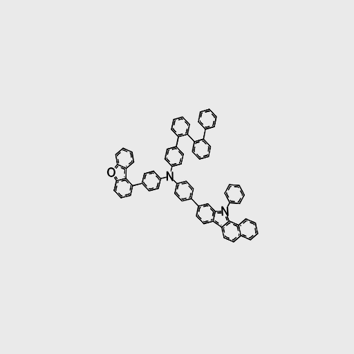 c1ccc(-c2ccccc2-c2ccccc2-c2ccc(N(c3ccc(-c4ccc5c6ccc7ccccc7c6n(-c6ccccc6)c5c4)cc3)c3ccc(-c4cccc5oc6ccccc6c45)cc3)cc2)cc1